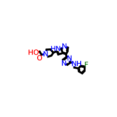 O=C(CO)N1CCC(c2cc3c(-c4cncc(NCc5cccc(F)c5)n4)ccnc3[nH]2)CC1